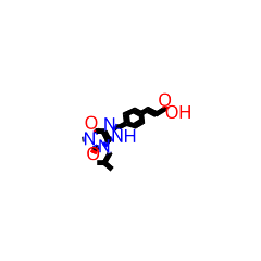 CC(C)Cn1c(=O)n(C)c(=O)c2nc(-c3ccc(C=CC(=O)O)cc3)[nH]c21